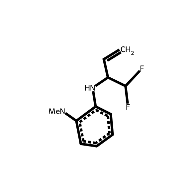 C=CC(Nc1ccccc1NC)C(F)F